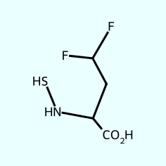 O=C(O)C(CC(F)F)NS